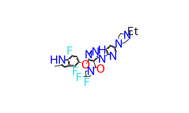 CCN1CCN(c2ccc(Nc3ncnc(Oc4cc(F)c5[nH]c(C)cc5c4F)c3C(=O)N3CC(F)(F)C3)nc2)CC1